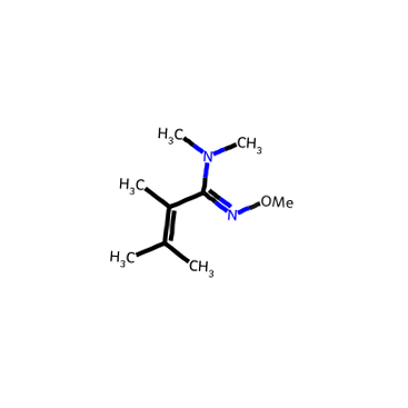 CON=C(C(C)=C(C)C)N(C)C